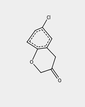 O=C1COc2ccc(Cl)cc2C1